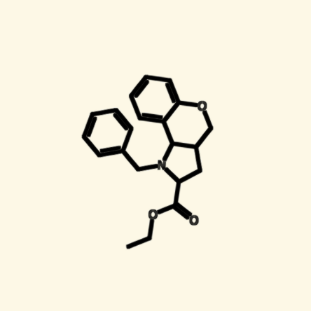 CCOC(=O)C1CC2COc3ccccc3C2N1Cc1ccccc1